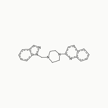 c1ccc2nc(N3CCN(Cn4ncc5ccccc54)CC3)ccc2c1